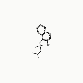 CC(C)C[Si](C)(C)Oc1c(Br)ccc2ccccc12